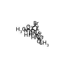 CNC(=O)Nc1cc(Br)ccc1NC(=S)NC(=O)OC